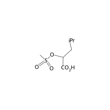 CC(C)CC(OS(C)(=O)=O)C(=O)O